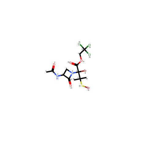 CC(=O)NC1CN(C(Br)(C(=O)OCC(Cl)(Cl)Cl)C(C)(C)SBr)C1=O